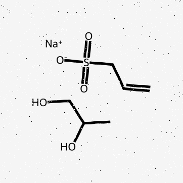 C=CCS(=O)(=O)[O-].CC(O)CO.[Na+]